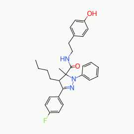 CCCCC1C(c2ccc(F)cc2)=NN(c2ccccc2)C1(C)C(=O)NCCc1ccc(O)cc1